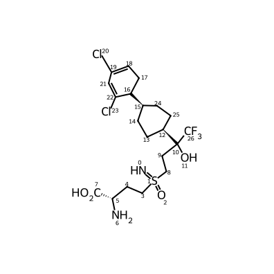 N=S(=O)(CC[C@H](N)C(=O)O)CCC(O)([C@H]1CC[C@@H](C2CC=C(Cl)C=C2Cl)CC1)C(F)(F)F